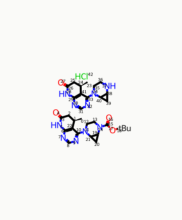 C[C@@H]1CC(=O)Nc2ncnc(N3CCN(C(=O)OC(C)(C)C)C4CC43)c21.C[C@@H]1CC(=O)Nc2ncnc(N3CCNC4CC43)c21.Cl